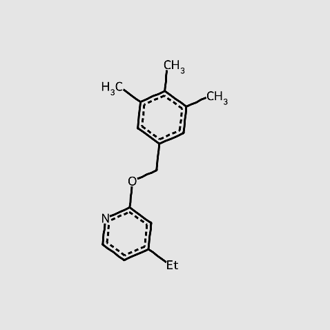 CCc1ccnc(OCc2cc(C)c(C)c(C)c2)c1